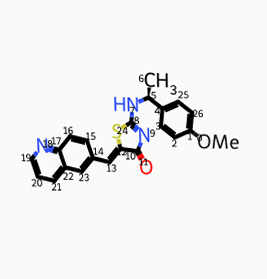 COc1ccc([C@H](C)NC2=NC(=O)/C(=C/c3ccc4ncccc4c3)S2)cc1